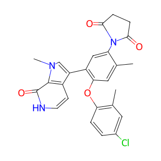 Cc1cc(Cl)ccc1Oc1cc(C)c(N2C(=O)CCC2=O)cc1-c1cn(C)c2c(=O)[nH]ccc12